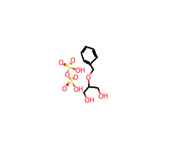 O=S(=O)(O)OS(=O)(=O)O.OCC(CO)OCc1ccccc1